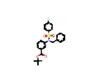 CC(C)(C)OC(=O)c1cccc(N(Cc2ccccc2)S(=O)(=O)c2ccc(F)cc2)c1